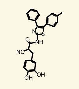 Cc1ccc(-c2sc(NC(=O)C(C#N)Cc3ccc(O)c(O)c3)nc2-c2ccccc2)cc1